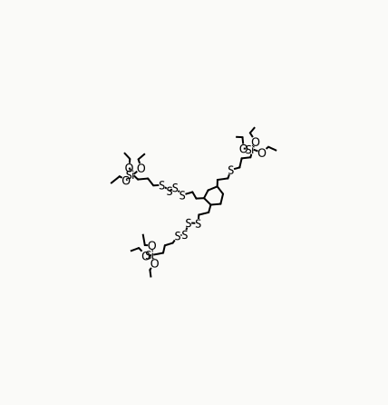 CCO[Si](CCCSCCC1CCC(CCSSSSCCC[Si](OCC)(OCC)OCC)C(CCSSSSCCC[Si](OCC)(OCC)OCC)C1)(OCC)OCC